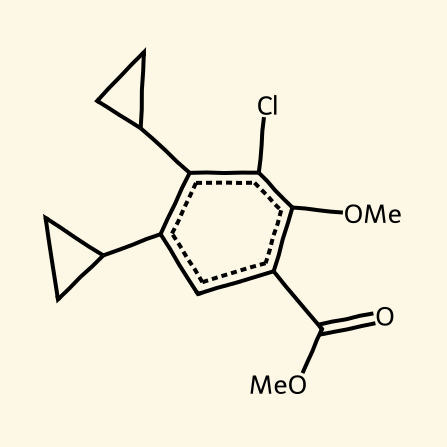 COC(=O)c1cc(C2CC2)c(C2CC2)c(Cl)c1OC